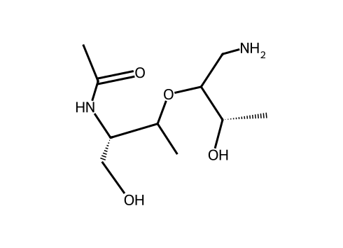 CC(=O)N[C@@H](CO)C(C)OC(CN)[C@H](C)O